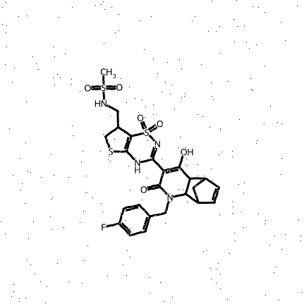 CS(=O)(=O)NCC1CSC2=C1S(=O)(=O)N=C(C1=C(O)C3C4C=CC(C4)C3N(Cc3ccc(F)cc3)C1=O)N2